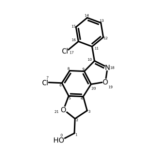 OCC1Cc2c(c(Cl)cc3c(-c4ccccc4Cl)noc23)O1